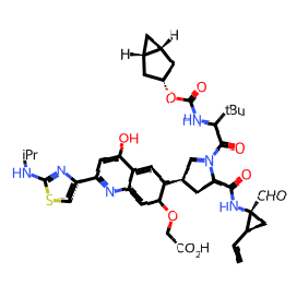 C=CC1C[C@@]1(C=O)NC(=O)C1C[C@@H](C2C=c3c(O)cc(-c4csc(NC(C)C)n4)nc3=CC2OCC(=O)O)CN1C(=O)C(NC(=O)O[C@@H]1C[C@@H]2C[C@@H]2C1)C(C)(C)C